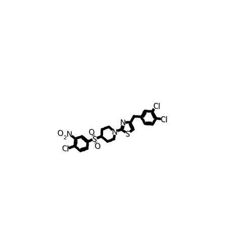 O=[N+]([O-])c1cc(S(=O)(=O)C2CCN(c3nc(Cc4ccc(Cl)c(Cl)c4)cs3)CC2)ccc1Cl